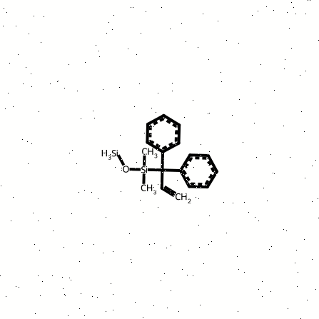 C=CC(c1ccccc1)(c1ccccc1)[Si](C)(C)O[SiH3]